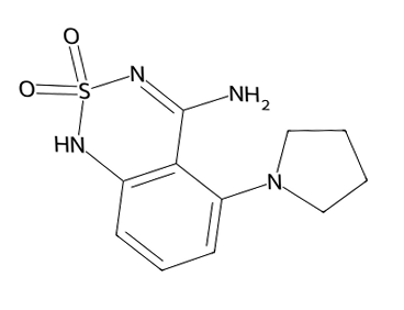 NC1=NS(=O)(=O)Nc2cccc(N3CCCC3)c21